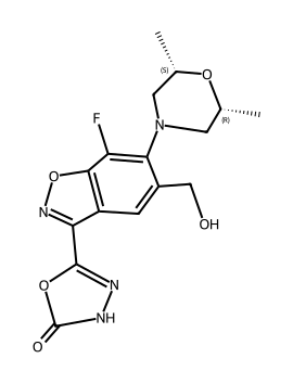 C[C@@H]1CN(c2c(CO)cc3c(-c4n[nH]c(=O)o4)noc3c2F)C[C@H](C)O1